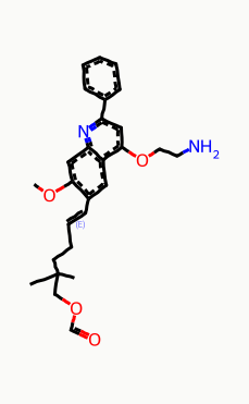 COc1cc2nc(-c3ccccc3)cc(OCCN)c2cc1/C=C/CCC(C)(C)COC=O